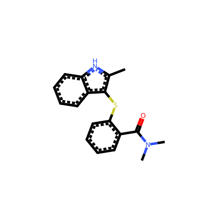 Cc1[nH]c2ccccc2c1Sc1ccccc1C(=O)N(C)C